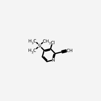 C#Cc1nccc([Si](C)(C)C)c1Cl